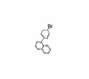 BrC1C=CC(c2cccc3ccccc23)=CC1